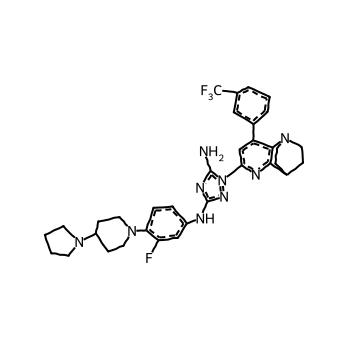 Nc1nc(Nc2ccc(N3CCC(N4CCCC4)CC3)c(F)c2)nn1-c1cc(-c2cccc(C(F)(F)F)c2)c2c(n1)C1CCN2CC1